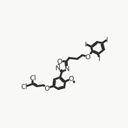 COc1ccc(OCC=C(Cl)Cl)cc1-c1noc(CCCOc2c(I)cc(I)cc2I)n1